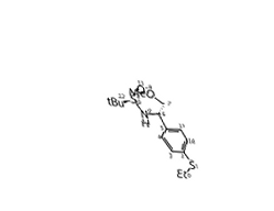 CCSc1ccc([C@@H](COC)N[S@+]([O-])C(C)(C)C)cc1